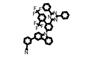 N#Cc1cccc(-c2ccc3c(c2)c2ccccc2n3-c2ccc(-c3nc(-c4ccccc4)nc(-c4ccccc4)n3)c(-c3ccc(C(F)(F)F)cc3C(F)(F)F)c2)c1